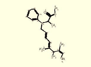 COC(=O)C(C)N(C/C=C/C=C(\C)C(C)/C(C)=C\O)c1ccccc1